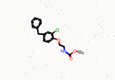 CC(C)(C)OC(=O)NCCOc1ccc(Cc2ccccc2)cc1Cl